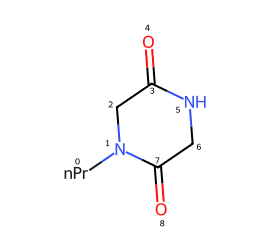 CCCN1CC(=O)NCC1=O